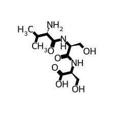 CC(C)[C@H](N)C(=O)N[C@@H](CO)C(=O)N[C@@H](CO)C(=O)O